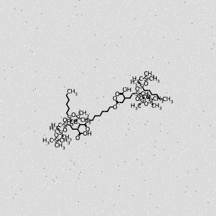 CCCCCC[Si](C)(O[Si](C)(C)C)O[Si](C)(CCC(CC(=O)OCCCCCCOC(=O)CC(CC[Si](C)(O[Si](C)(C)O[Si](C)(C)C)O[Si](C)(CCCCCC)O[Si](C)(C)C)C(=O)O)C(=O)O)O[Si](C)(C)O[Si](C)(C)C